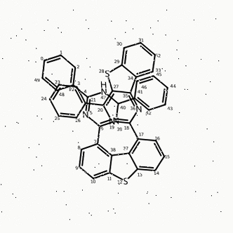 c1ccc(C2=NC(c3cccc4sc5cccc(-c6nc(-c7ccccc7)c7sc8ccccc8c7n6)c5c34)=NC(c3ccccc3)N2)cc1